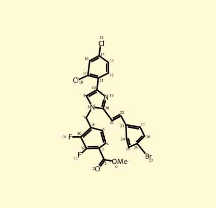 COC(=O)c1ccc(Cn2cc(-c3ccc(Cl)cc3Cl)nc2/C=C/c2ccc(Br)cc2)c(F)c1F